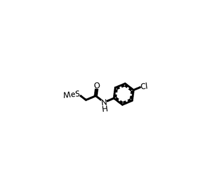 CSCC(=O)Nc1ccc(Cl)cc1